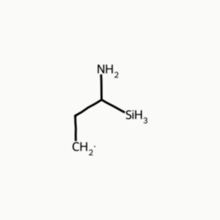 [CH2]CC(N)[SiH3]